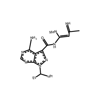 CCCC(CC)n1nc(C(=O)N/C(=C/C(C)=N)NC)c2c(N)ncnc21